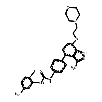 Cc1ccc(F)c(NC(=O)Nc2ccc(-c3ccc(OCCN4CCOCC4)c4[nH]nc(N)c34)cc2)c1